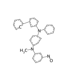 CN(c1ccc(N(c2ccccc2)c2cccc(-c3ccccc3)c2)cc1)c1cccc(N=O)c1